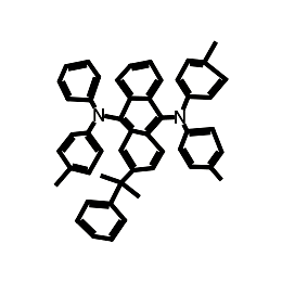 Cc1ccc(N(c2ccc(C)cc2)c2c3ccccc3c(N(c3ccccc3)c3ccc(C)cc3)c3cc(C(C)(C)c4ccccc4)ccc23)cc1